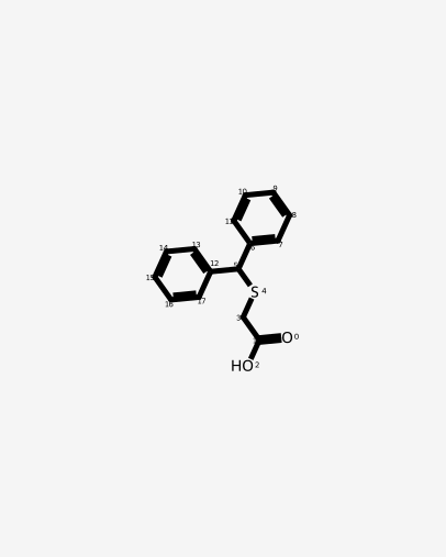 O=C(O)CSC(c1ccccc1)c1ccccc1